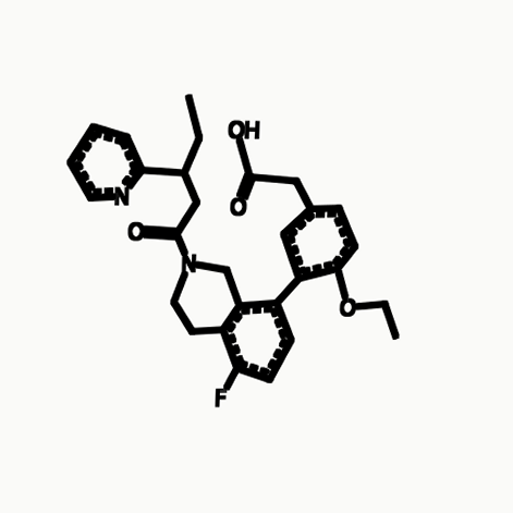 CCOc1ccc(CC(=O)O)cc1-c1ccc(F)c2c1CN(C(=O)CC(CC)c1ccccn1)CC2